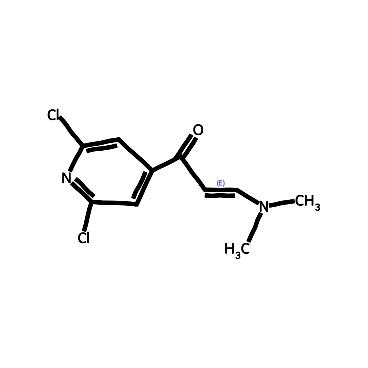 CN(C)/C=C/C(=O)c1cc(Cl)nc(Cl)c1